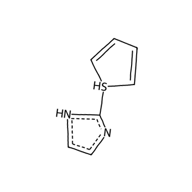 C1=C[SH](c2ncc[nH]2)C=C1